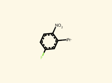 C[C](C)c1cc(F)ccc1[N+](=O)[O-]